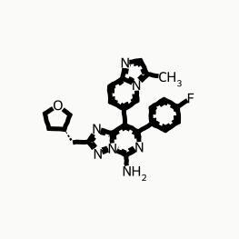 Cc1cnc2ccc(-c3c(-c4ccc(F)cc4)nc(N)n4nc(C[C@@H]5CCOC5)nc34)cn12